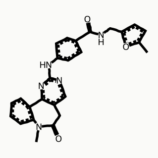 Cc1ccc(CNC(=O)c2ccc(Nc3ncc4c(n3)-c3ccccc3N(C)C(=O)C4)cc2)o1